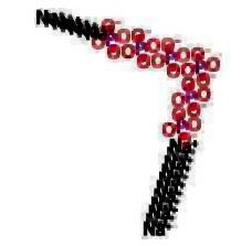 O=P([O-])([O-])[O-].O=P([O-])([O-])[O-].O=P([O-])([O-])[O-].O=P([O-])([O-])[O-].O=P([O-])([O-])[O-].O=P([O-])([O-])[O-].[Na+].[Na+].[Na+].[Na+].[Na+].[Na+].[Na+].[Na+].[Na+].[Na+].[Na+].[Na+].[Na+].[Na+].[Na+].[Na+].[Na+].[Na+]